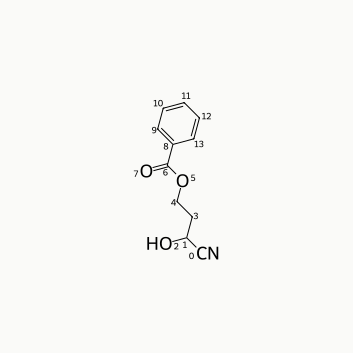 N#CC(O)CCOC(=O)c1ccccc1